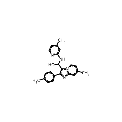 Cc1ccc(-c2nc3cc(C)ccn3c2C(O)Nc2cc(C)ccn2)cc1